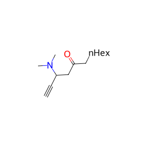 C#CC(CC(=O)CCCCCCC)N(C)C